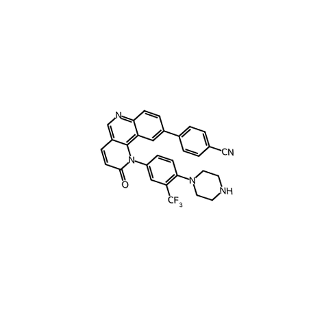 N#Cc1ccc(-c2ccc3ncc4ccc(=O)n(-c5ccc(N6CCNCC6)c(C(F)(F)F)c5)c4c3c2)cc1